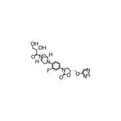 O=C1O[C@@H](COc2cnsn2)CN1c1ccc(N2C[C@@H]3C[C@H]2CN3C(=O)[C@@H](O)CO)c(F)c1